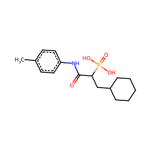 Cc1ccc(NC(=O)C(CC2CCCCC2)P(=O)(O)O)cc1